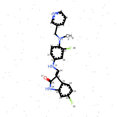 CN(Cc1cccnc1)c1ccc(NC=C2C(=O)Nc3cc(F)ccc32)cc1F